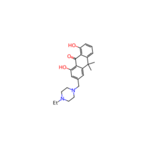 CCN1CCN(Cc2cc(O)c3c(c2)C(C)(C)c2cccc(O)c2C3=O)CC1